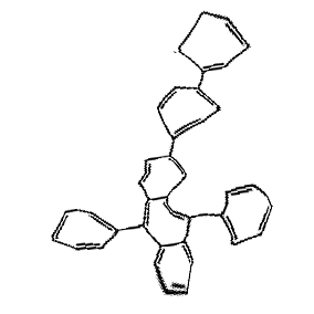 [CH]1CC=CC=C1c1ccc(-c2ccc3c(-c4ccccc4)c4ccccc4c(-c4ccccc4)c3c2)cc1